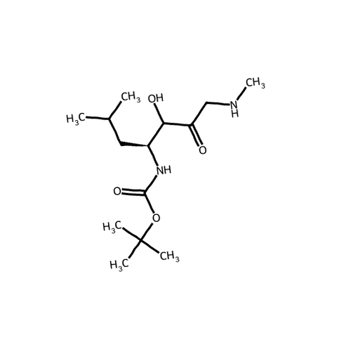 CNCC(=O)C(O)[C@H](CC(C)C)NC(=O)OC(C)(C)C